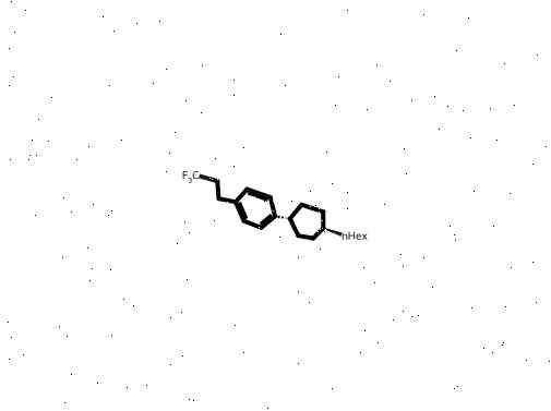 CCCCCC[C@H]1CC[C@H](c2ccc(CCC(F)(F)F)cc2)CC1